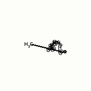 CCCCCCCCCCCCCCCCCC(=O)OC[C@H](COP(=O)([O-])OCC[N+](C)(C)C)OC(=O)CCCCCNC(=O)OCc1ccccc1